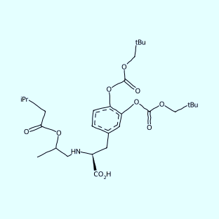 CC(C)CC(=O)OC(C)CN[C@@H](Cc1ccc(OC(=O)OCC(C)(C)C)c(OC(=O)OCC(C)(C)C)c1)C(=O)O